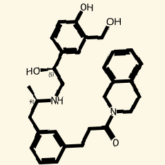 C[C@H](Cc1cccc(CCC(=O)N2CCc3ccccc3C2)c1)NC[C@@H](O)c1ccc(O)c(CO)c1